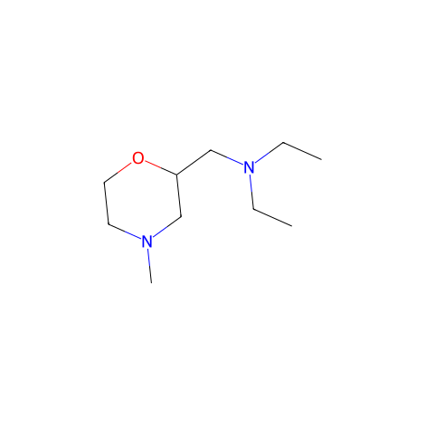 CCN(CC)CC1CN(C)CCO1